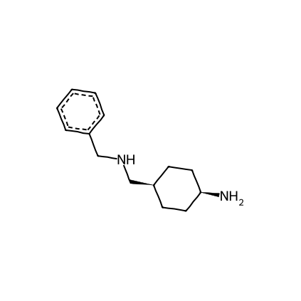 N[C@H]1CC[C@@H](CNCc2ccccc2)CC1